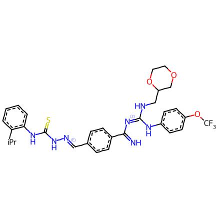 CC(C)c1ccccc1NC(=S)N/N=C/c1ccc(C(=N)/N=C(/NCC2COCCO2)Nc2ccc(OC(F)(F)F)cc2)cc1